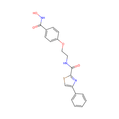 O=C(NO)c1ccc(OCCNC(=O)c2nc(-c3ccccc3)cs2)cc1